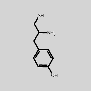 NC(CS)Cc1ccc(O)cc1